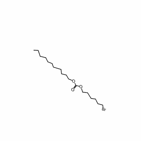 CCCCCCCCCCCOC(=O)OCCCCCCBr